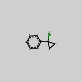 BrC1(c2cc[c]cc2)CC1